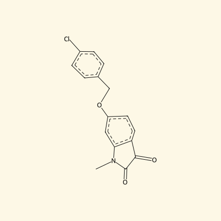 CN1C(=O)C(=O)c2ccc(OCc3ccc(Cl)cc3)cc21